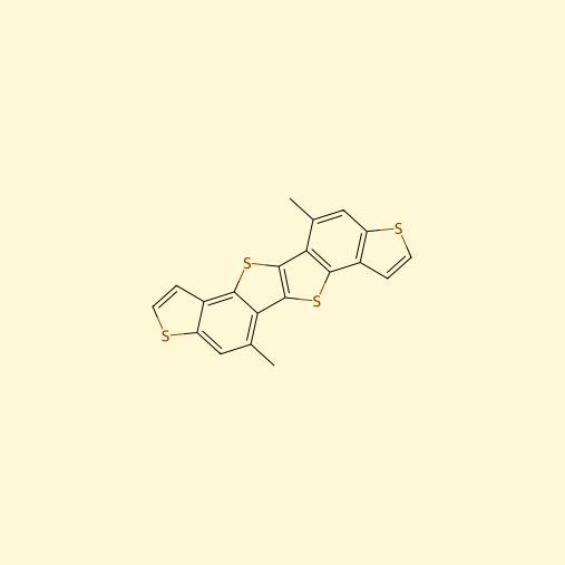 Cc1cc2sccc2c2sc3c(sc4c5ccsc5cc(C)c43)c12